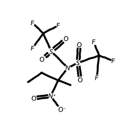 CCC(C)(N(S(=O)(=O)C(F)(F)F)S(=O)(=O)C(F)(F)F)[N+](=O)[O-]